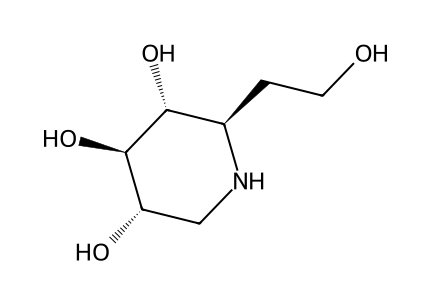 OCC[C@H]1NC[C@H](O)[C@@H](O)[C@@H]1O